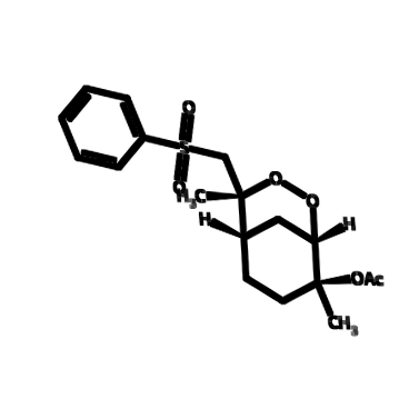 CC(=O)O[C@@]1(C)CC[C@H]2C[C@@H]1OO[C@@]2(C)CS(=O)(=O)c1ccccc1